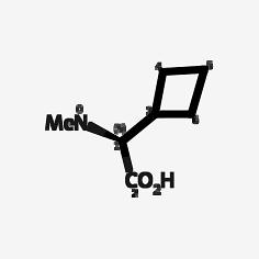 CN[C@H](C(=O)O)C1CCC1